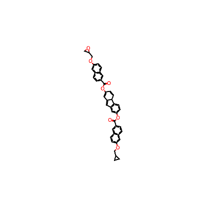 O=C(OC1=CC2=Cc3cc(OC(=O)c4ccc5cc(OCC6CC6)ccc5c4)ccc3C2C=C1)c1ccc2cc(OCC3CO3)ccc2c1